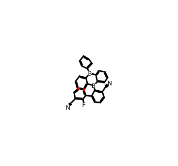 N#Cc1cccc(-c2cccc(C#N)c2B2c3ccccc3B(c3ccccc3)c3ccccc32)c1F